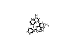 CCC(c1c[nH]c2ccccc12)C(NC(=O)c1ccccc1)C(=O)O